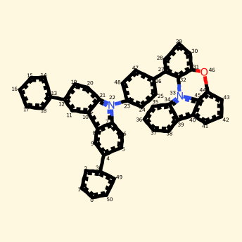 c1ccc(-c2ccc3c(c2)c2cc(-c4ccccc4)ccc2n3-c2ccc(-c3cccc4c3-n3c5ccccc5c5cccc(c53)O4)cc2)cc1